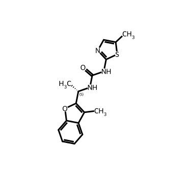 Cc1cnc(NC(=O)N[C@@H](C)c2oc3ccccc3c2C)s1